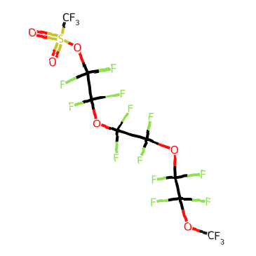 O=S(=O)(OC(F)(F)C(F)(F)OC(F)(F)C(F)(F)OC(F)(F)C(F)(F)OC(F)(F)F)C(F)(F)F